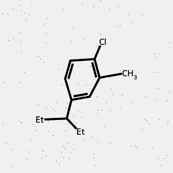 CCC(CC)c1ccc(Cl)c(C)c1